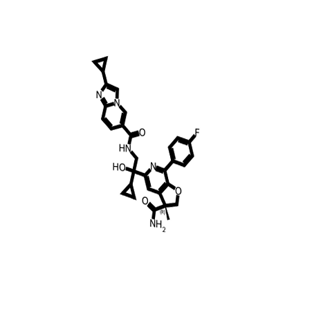 C[C@]1(C(N)=O)COc2c1cc(C(O)(CNC(=O)c1ccc3nc(C4CC4)cn3c1)C1CC1)nc2-c1ccc(F)cc1